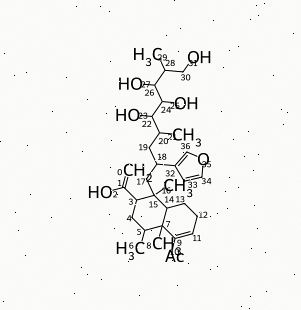 C=C(O)C1CC(C)C2(C)C(C(C)=O)=CCCC2C1(C)CC(CC(C)C(O)C(O)C(O)C(C)CO)c1ccoc1